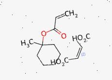 C=CC(=O)OC1(C)CCCCC1.O=C(O)/C=C\C(=O)O